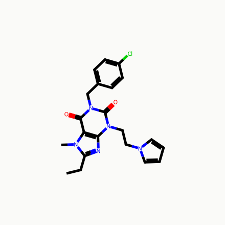 CCc1nc2c(c(=O)n(Cc3ccc(Cl)cc3)c(=O)n2CCn2cccc2)n1C